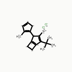 CC1=C(C2[C]([Ti+2])=C(C(C)(C)C)C3=C2CC3)CC=C1.[Cl-].[Cl-]